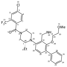 CC[C@@H]1CN(C(=O)c2ccc(Cl)cc2C(F)(F)F)CCN1c1ccc(-c2ccccc2)c(OCCOC)c1CN